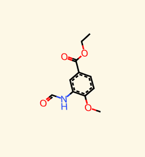 CCOC(=O)c1ccc(OC)c(NC=O)c1